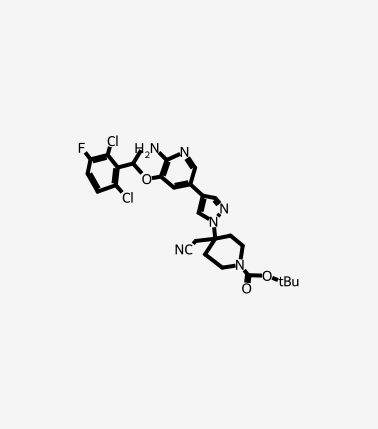 CC(Oc1cc(-c2cnn(C3(CC#N)CCN(C(=O)OC(C)(C)C)CC3)c2)cnc1N)c1c(Cl)ccc(F)c1Cl